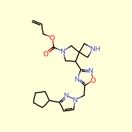 C=CCOC(=O)N1CC(c2noc(Cn3ccc(C4CCCC4)n3)n2)C2(CNC2)C1